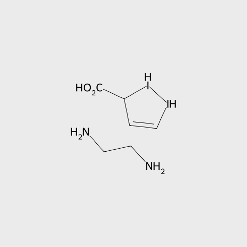 NCCN.O=C(O)C1C=C[IH][IH]1